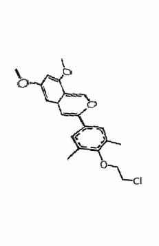 COC1=CC2C=C(c3cc(C)c(OCCCl)c(C)c3)OC=C2C(OC)=C1